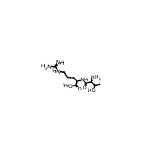 CC(O)C(N)C(=O)NC(CCCNC(=N)N)C(=O)O